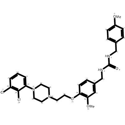 COc1ccc(CNC(=O)NCc2ccc(OCCN3CCN(c4cccc(Cl)c4Cl)CC3)c(OC)c2)cc1